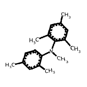 Cc1ccc(N(C)c2c(C)cc(C)cc2C)c(C)c1